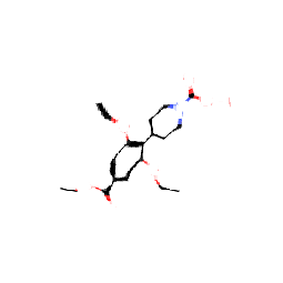 CCOC(=O)c1cc(OCC)c(C2CCN(C(=O)O)CC2)c(OCC)c1